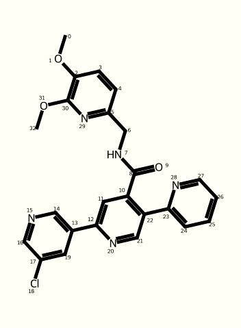 COc1ccc(CNC(=O)c2cc(-c3cncc(Cl)c3)ncc2-c2ccccn2)nc1OC